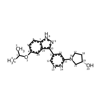 CC(C)Oc1ccc2[nH]nc(-c3cnnc(N4CC[C@H](O)C4)c3)c2c1